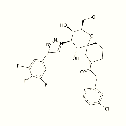 O=C(Cc1cccc(Cl)c1)N1CCC[C@]2(C1)O[C@H](CO)[C@H](O)[C@H](n1cc(-c3cc(F)c(F)c(F)c3)nn1)[C@H]2O